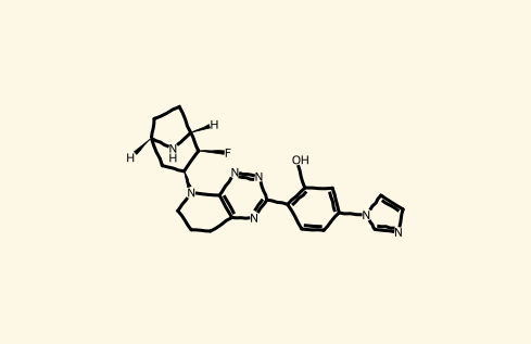 Oc1cc(-n2ccnc2)ccc1-c1nnc2c(n1)CCCN2[C@H]1C[C@@H]2CC[C@@H](N2)[C@H]1F